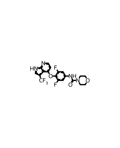 O=C(Nc1cc(F)c(Oc2ccnc3[nH]cc(C(F)(F)F)c23)c(F)c1)N1CCOCC1